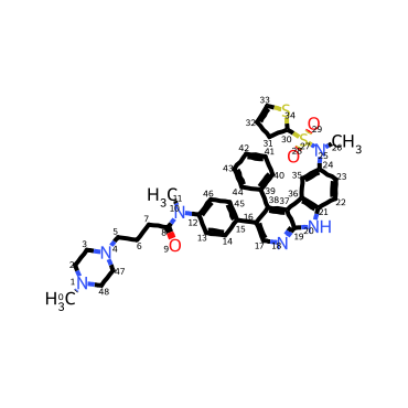 CN1CCN(CCCC(=O)N(C)c2ccc(-c3cnc4[nH]c5ccc(N(C)S(=O)(=O)C6CC=CS6)cc5c4c3-c3ccccc3)cc2)CC1